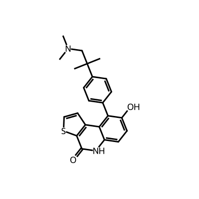 CN(C)CC(C)(C)c1ccc(-c2c(O)ccc3[nH]c(=O)c4sccc4c23)cc1